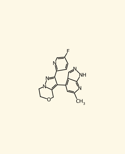 Cc1cc(-c2c(-c3ccc(F)cn3)nn3c2COCC3)c2cn[nH]c2n1